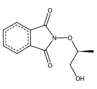 C[C@@H](CO)ON1C(=O)c2ccccc2C1=O